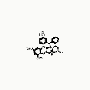 COc1cc(OC)c(CN2C[C@@H]3CN(C(C)=O)CCN3[C@H](C(c3ccccc3)c3ccccc3)C2)c(OC)c1.Cl.Cl